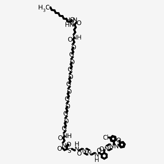 CCCCCCCCCCCC(=O)NC(CCCCNC(=O)CCOCCOCCOCCOCCOCCOCCOCCOCCOCCOCCOCCOCCNC(=O)CCN1C(=O)CC(SCCNC(=O)CN2CCN(CCNC(=O)C3CCCCC3C(=O)N3CCN(C4=Nc5ccccc5Oc5ccc(Cl)cc54)CC3)CC2)C1=O)C(N)=O